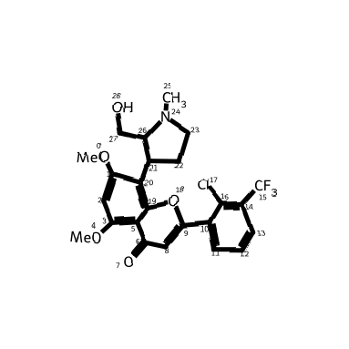 COc1cc(OC)c2c(=O)cc(-c3cccc(C(F)(F)F)c3Cl)oc2c1C1CCN(C)C1CO